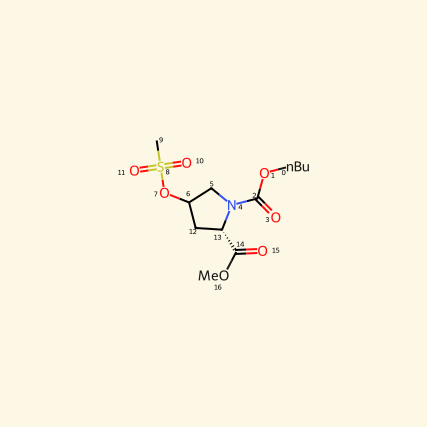 CCCCOC(=O)N1CC(OS(C)(=O)=O)C[C@H]1C(=O)OC